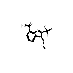 COCn1c(C(F)(F)F)nc2c(C(=O)O)cccc21